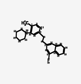 Cc1cnc(CCc2cc(F)c3ccccc3c2)cc1N1CCCCC1